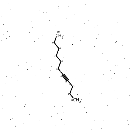 [CH2]CCC#CCCCCC[CH2]